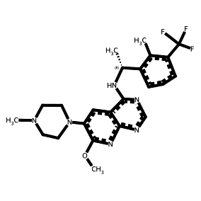 COc1nc2ncnc(N[C@H](C)c3cccc(C(F)(F)F)c3C)c2cc1N1CCN(C)CC1